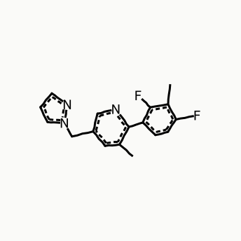 Cc1cc(Cn2cccn2)cnc1-c1ccc(F)c(C)c1F